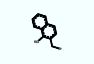 Oc1c(CBr)ccc2ccccc12